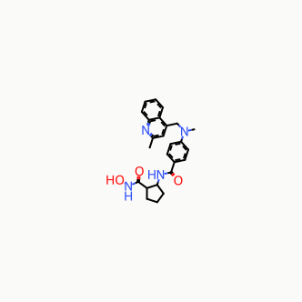 Cc1cc(CN(C)c2ccc(C(=O)NC3CCCC3C(=O)NO)cc2)c2ccccc2n1